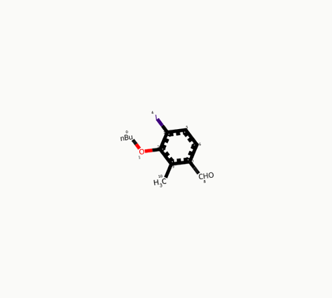 CCCCOc1c(I)ccc(C=O)c1C